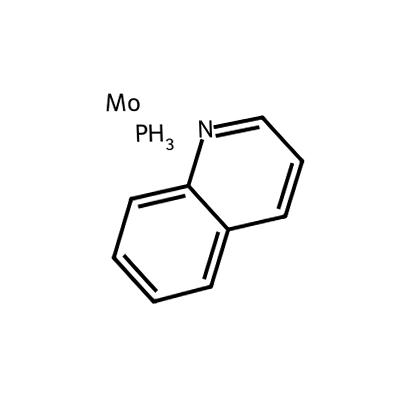 P.[Mo].c1ccc2ncccc2c1